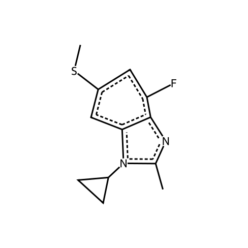 CSc1cc(F)c2nc(C)n(C3CC3)c2c1